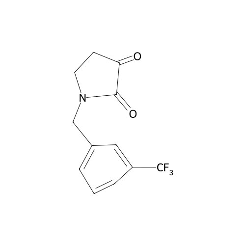 O=C1CCN(Cc2cccc(C(F)(F)F)c2)C1=O